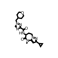 CN1C(=O)C(NC(=O)c2ncn(CC3CCOCC3)n2)CCn2nc(C3CC3)cc21